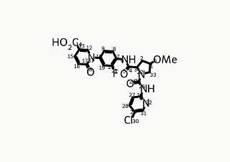 COC1CC(C(=O)Nc2ccc(-n3cc(C(=O)O)ccc3=O)cc2F)N(C(=O)Nc2ccc(Cl)cn2)C1